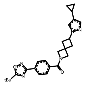 CC(C)(C)c1nc(-c2ccc(C(=O)N3CC4(CC(n5cc(C6CC6)cn5)C4)C3)cc2)no1